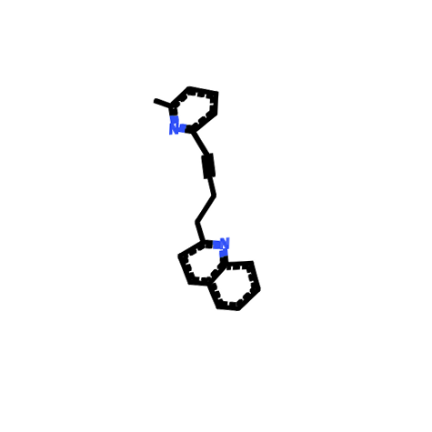 Cc1cccc(C#CCCc2ccc3ccccc3n2)n1